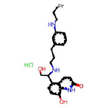 CC(C)CCNc1cccc(CCCNC(CO)c2ccc(O)c3[nH]c(=O)ccc23)c1.Cl